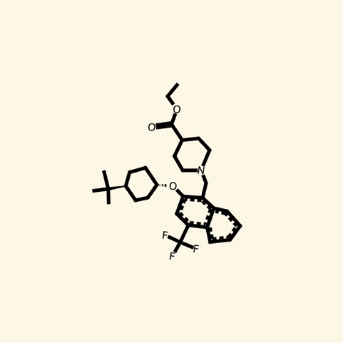 CCOC(=O)C1CCN(Cc2c(O[C@H]3CC[C@H](C(C)(C)C)CC3)cc(C(F)(F)F)c3ccccc23)CC1